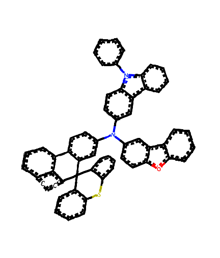 c1ccc(-n2c3ccccc3c3cc(N(c4ccc5c(c4)C4(c6ccccc6Sc6ccccc64)c4cccc6cccc-5c46)c4ccc5oc6ccccc6c5c4)ccc32)cc1